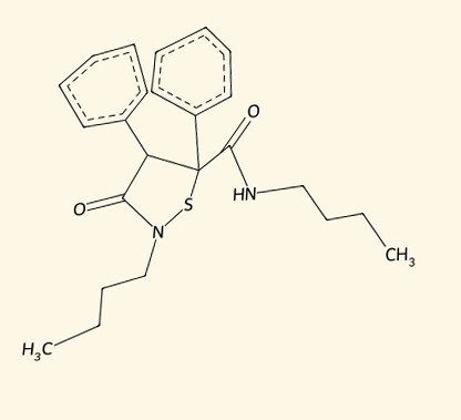 CCCCNC(=O)C1(c2ccccc2)SN(CCCC)C(=O)C1c1ccccc1